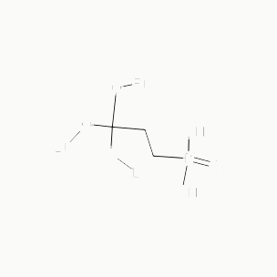 CCOC(CCP(=O)(O)O)(OCC)OCC